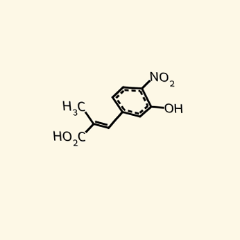 CC(=Cc1ccc([N+](=O)[O-])c(O)c1)C(=O)O